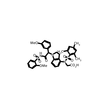 COc1cccc(C(C(=O)NS(=O)(=O)c2ccccc2OC)N2CCc3c2cccc3N(CC(=O)O)S(=O)(=O)c2c(C)cc(C)cc2C)c1